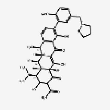 COc1ccc(CN2CCCC2)cc1-c1ccc2c(c1O)C(=O)C1=C(O)[C@]3(O)C(=O)C(C(N)=O)C(O)[C@@H](N(C)C)[C@@H]3[C@@H](O)[C@@H]1[C@H]2C